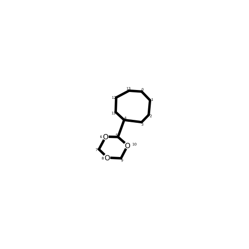 C1CCCC(C2OCOCO2)CCC1